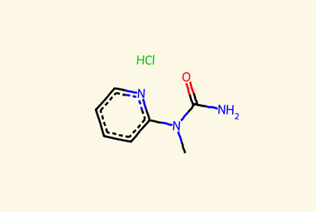 CN(C(N)=O)c1ccccn1.Cl